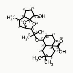 CC1CC2OC3(OC2C(C)(C)OC2CCCC4(C(=O)O)CCC(C)(C)CC24)C(O)CCC13